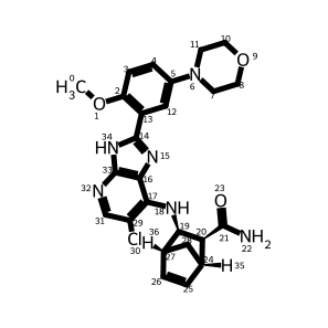 COc1ccc(N2CCOCC2)cc1-c1nc2c(N[C@H]3[C@@H](C(N)=O)[C@@H]4C=C[C@H]3C4)c(Cl)cnc2[nH]1